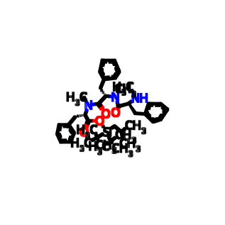 CN[C@@H](Cc1ccccc1)C(=O)N(C)[C@@H](Cc1ccccc1)C(=O)N(C)[C@@H](Cc1ccccc1)C(=O)O[Si](CC(C)C)(C(C)(C)C)C(C)(C)C